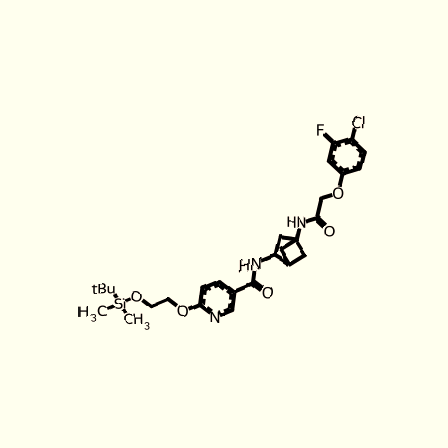 CC(C)(C)[Si](C)(C)OCCOc1ccc(C(=O)NC2CC3(NC(=O)COc4ccc(Cl)c(F)c4)CC2C3)cn1